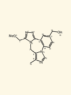 COCc1nnc2n1Cc1c(C)ncn1-c1ccc(CO)cc1-2